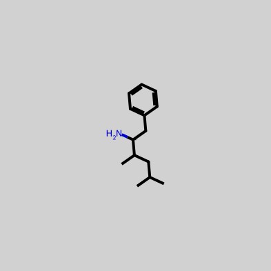 CC(C)CC(C)[C](N)Cc1ccccc1